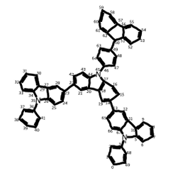 c1ccc(-n2c3ccccc3c3cc(-c4ccc5c(c4)c4cc(-c6ccc7c(c6)c6ccccc6n7-c6ccccc6)ccc4n5-c4ccc(C5c6ccccc6-c6ccccc65)cc4)ccc32)cc1